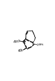 COc1cc(Br)c(OC)c2c1CCC=C2